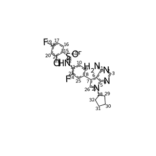 Nc1ncnc2c1c(-c1ccc(N[S+]([O-])c3ccc(F)cc3Cl)c(F)c1)cn2C1CCCC1